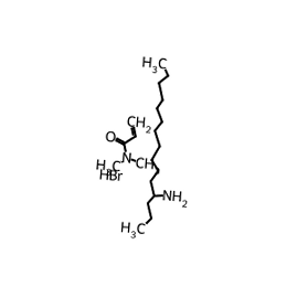 Br.C=CC(=O)N(C)C.CCCCCCCCCCCC(N)CCC